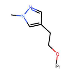 CC(C)OCCc1cnn(C)c1